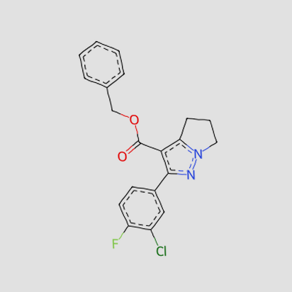 O=C(OCc1ccccc1)c1c(-c2ccc(F)c(Cl)c2)nn2c1CCC2